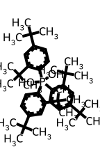 CC(C)(C)c1ccc(P(O)(O)(c2ccc(C(C)(C)C)cc2C(C)(C)C)c2ccc(C(C)(C)C)cc2C(C)(C)C)c(C(C)(C)C)c1